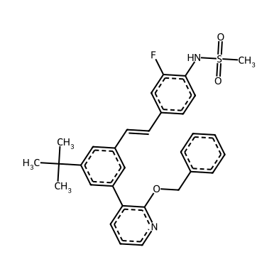 CC(C)(C)c1cc(/C=C/c2ccc(NS(C)(=O)=O)c(F)c2)cc(-c2cccnc2OCc2ccccc2)c1